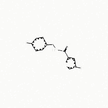 O=C(NCc1ccc(Cl)cc1)c1cc(Br)co1